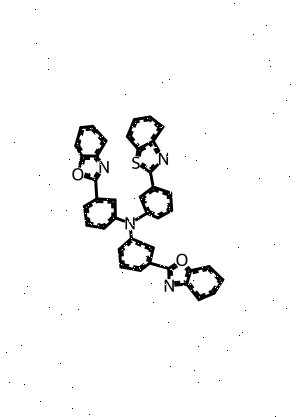 c1cc(-c2nc3ccccc3o2)cc(N(c2cccc(-c3nc4ccccc4o3)c2)c2cccc(-c3nc4ccccc4s3)c2)c1